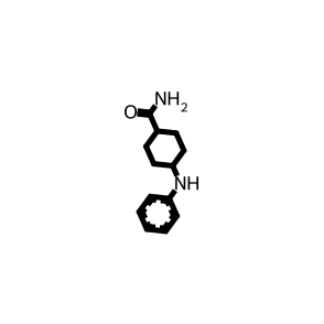 NC(=O)C1CCC(Nc2ccccc2)CC1